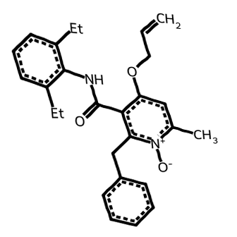 C=CCOc1cc(C)[n+]([O-])c(Cc2ccccc2)c1C(=O)Nc1c(CC)cccc1CC